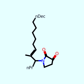 CCCCCCCCCCCCCCCC=C(C)C(CCC)N1CCC(=O)C1=O